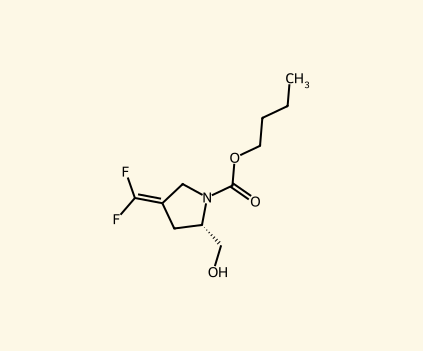 CCCCOC(=O)N1CC(=C(F)F)C[C@H]1CO